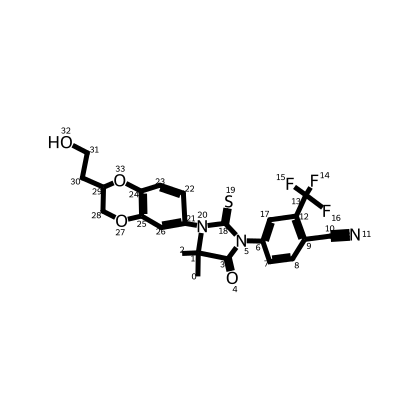 CC1(C)C(=O)N(c2ccc(C#N)c(C(F)(F)F)c2)C(=S)N1c1ccc2c(c1)OCC(CCO)O2